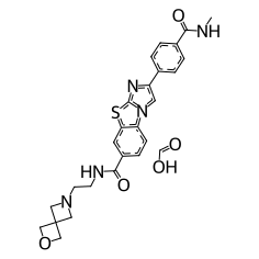 CNC(=O)c1ccc(-c2cn3c(n2)sc2cc(C(=O)NCCN4CC5(COC5)C4)ccc23)cc1.O=CO